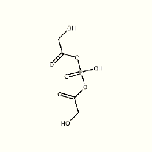 O=C(CO)OP(=O)(O)OC(=O)CO